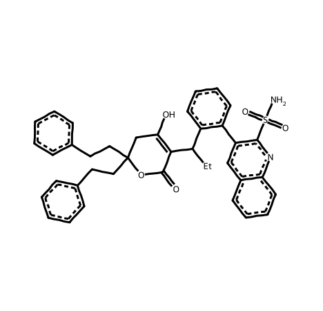 CCC(C1=C(O)CC(CCc2ccccc2)(CCc2ccccc2)OC1=O)c1ccccc1-c1cc2ccccc2nc1S(N)(=O)=O